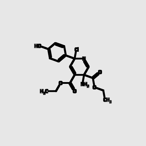 CCOC(=O)C1=CC(Cl)(c2ccc(O)cc2)N=CC1(N)C(=O)OCC